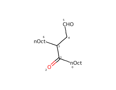 CCCCCCCCC(=O)C(CC=O)CCCCCCCC